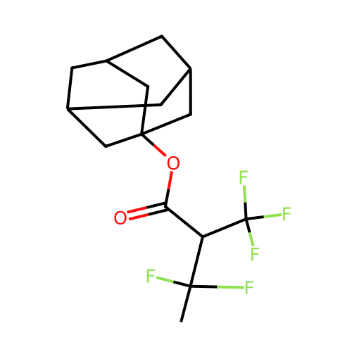 CC(F)(F)C(C(=O)OC12CC3CC(CC(C3)C1)C2)C(F)(F)F